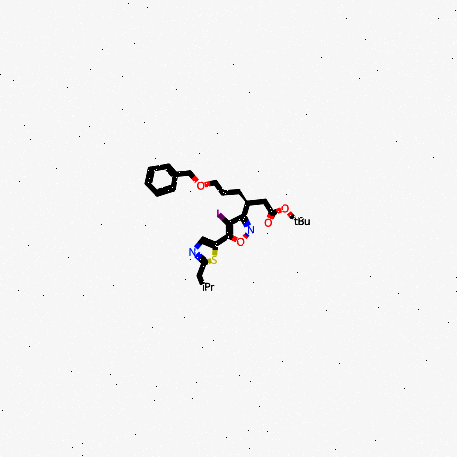 CC(C)Cc1ncc(-c2onc([C@@H](CCCOCc3ccccc3)CC(=O)OC(C)(C)C)c2I)s1